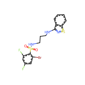 O=S(=O)(NCCCNc1nsc2ccccc12)c1c(F)cc(F)cc1Br